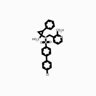 O=C(O)c1ncccc1CN(C1(C(=O)O)CC1c1ccccc1)S(=O)(=O)c1ccc(-c2ccc(Cl)cc2)cc1